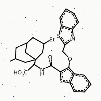 CCC1CC2CC(C)C[C@@](C(NC(=O)c3sc4ccccc4c3OCc3nc4ccccc4s3)C(=O)O)(C1)C2